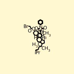 CC(C)CCC[C@@H](C)C1CC[C@H]2C3C=CC4(n5c(=O)n(-c6ccccc6)c(=O)n5C)C[C@@H](OC(=O)CBr)CC[C@]4(C)[C@H]3CC[C@]12C